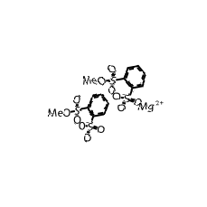 COS(=O)(=O)c1ccccc1S(=O)(=O)[O-].COS(=O)(=O)c1ccccc1S(=O)(=O)[O-].[Mg+2]